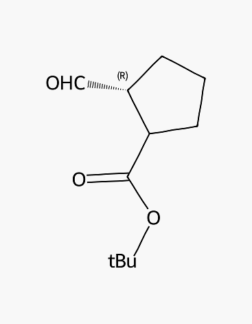 CC(C)(C)OC(=O)C1CCC[C@H]1C=O